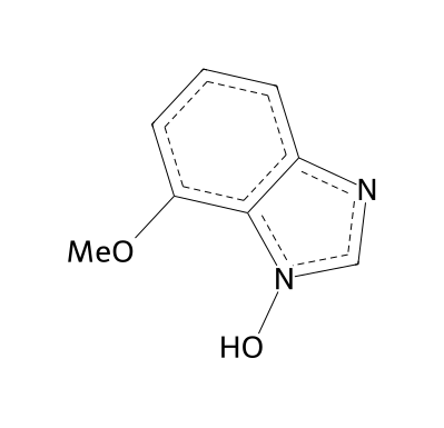 COc1cccc2ncn(O)c12